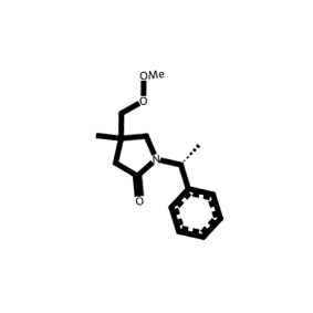 COOCC1(C)CC(=O)N([C@H](C)c2ccccc2)C1